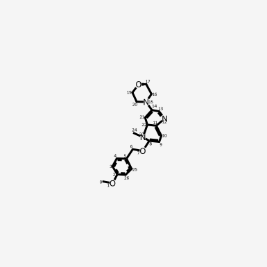 COc1ccc(COC2=CC=C3N=CC(N4CCOCC4)=CC3N2C)cc1